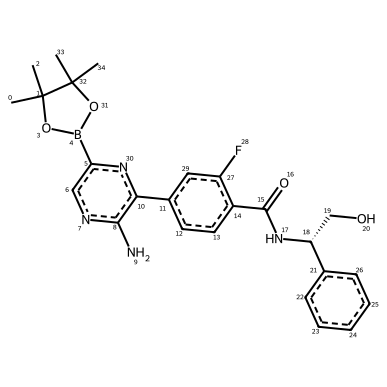 CC1(C)OB(c2cnc(N)c(-c3ccc(C(=O)N[C@H](CO)c4ccccc4)c(F)c3)n2)OC1(C)C